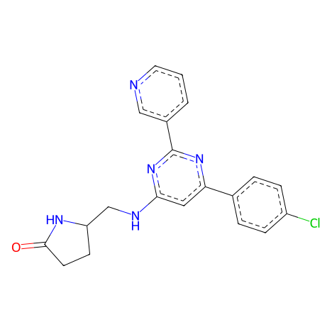 O=C1CCC(CNc2cc(-c3ccc(Cl)cc3)nc(-c3cccnc3)n2)N1